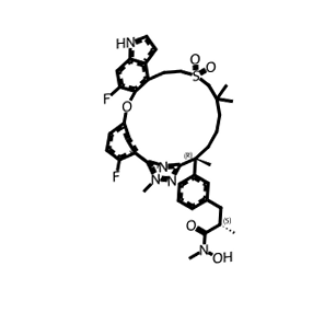 C[C@@H](Cc1cccc([C@@]2(C)CCCC(C)(C)CS(=O)(=O)CCc3c(c(F)cc4[nH]ccc34)Oc3ccc(F)c(c3)-c3nc2nn3C)c1)C(=O)N(C)O